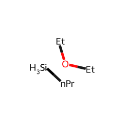 CCC[SiH3].CCOCC